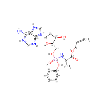 C=CCOC(=O)[C@H](C)N[P@](=O)(OC[C@@H]1O[C@H](n2cnc3c(N)ncnc32)C[C@H]1O)Oc1ccccc1